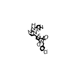 Cn1nccc1Nc1nccc(-c2cc3c(s2)C2(COC2)N(Cc2cccc(Cl)c2)C3=O)n1